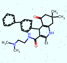 CCC1=C(C(=O)NCCN(C)C)C(c2ccc(-c3ccccc3)cc2)C2=C(CC(C)(C)CC2=O)N1